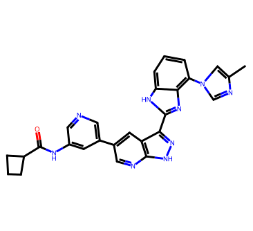 Cc1cn(-c2cccc3[nH]c(-c4n[nH]c5ncc(-c6cncc(NC(=O)C7CCC7)c6)cc45)nc23)cn1